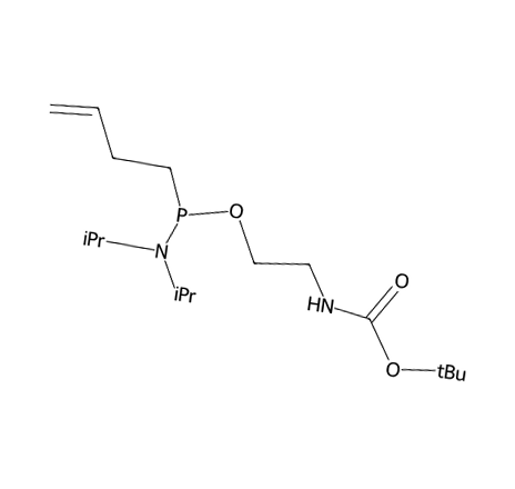 C=CCCP(OCCNC(=O)OC(C)(C)C)N(C(C)C)C(C)C